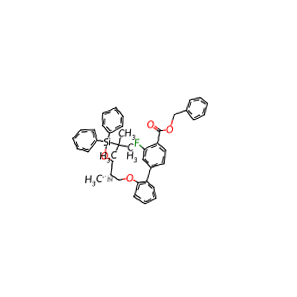 C[C@@H](COc1ccccc1-c1ccc(C(=O)OCc2ccccc2)c(F)c1)CO[Si](c1ccccc1)(c1ccccc1)C(C)(C)C